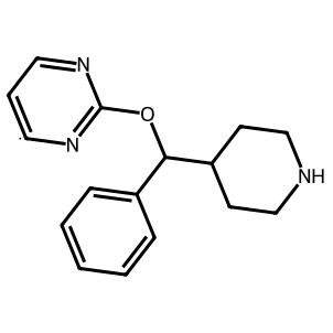 [c]1ccnc(OC(c2ccccc2)C2CCNCC2)n1